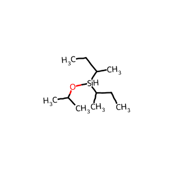 CCC(C)[SiH](OC(C)C)C(C)CC